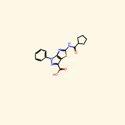 O=C(O)c1nn(-c2ccccc2)c2nc(NC(=O)C3CCCC3)sc12